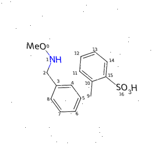 CONCc1ccccc1.Cc1ccccc1S(=O)(=O)O